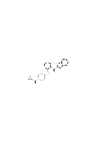 COc1cccc2cc(C(=N)c3c(N)ncnc3NC3CCN(C(=O)C4CC4)CC3)[nH]c12